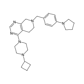 c1nc2c(c(N3CCN(C4CCC4)CC3)n1)CCN(Cc1ccc(N3CCCC3)cc1)C2